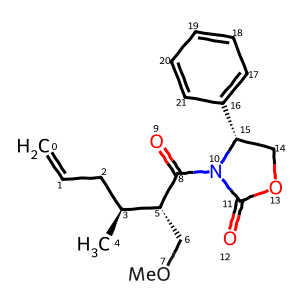 C=CC[C@H](C)[C@@H](COC)C(=O)N1C(=O)OC[C@H]1c1ccccc1